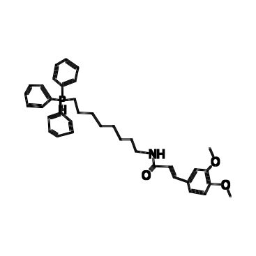 COc1ccc(C=CC(=O)NCCCCCCCC[PH](c2ccccc2)(c2ccccc2)c2ccccc2)cc1OC